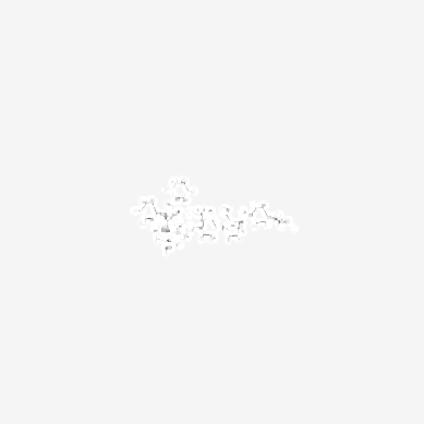 COc1cc(-n2ccnc(Sc3ccc(OC(F)(F)F)cc3)c2=O)ccc1OCC1(OP(=O)(OCc2ccccc2)OCc2ccccc2)CC(F)(F)C1